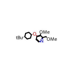 COCc1nccc(O[C@H]2CC[C@@H](C(C)(C)C)CC2)c1OC